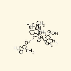 Cc1cc(OCCCc2c3n(c4c(-c5c(C)nn(C)c5C)c(Cl)ccc24)C(C)CN(c2cn(C)c4c(C)cc(C(=O)O)cc24)C3=O)cc(C)c1Cl